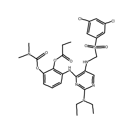 CCC(=O)Oc1c(Nc2nc(N(CC)CC)ncc2NCS(=O)(=O)c2cc(Cl)cc(Cl)c2)cccc1OC(=O)N(C)C